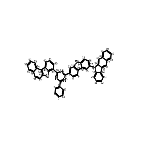 c1ccc(-c2nc(-c3ccc4c(c3)sc3ccc(-n5c6ccccc6c6cc7ccccc7cc65)cc34)nc(-c3cccc4c3oc3ccc5ccccc5c34)n2)cc1